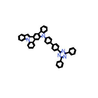 c1ccc(-c2nc(-c3ccccc3)nc(-c3ccc(-c4ccc(-n5c6ccccc6c6cc7c(cc65)c5ccccc5n5c6ccccc6cc75)cc4)cc3)n2)cc1